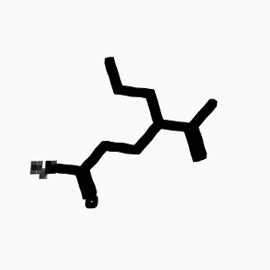 C=C(C)C(CCC)CCC(N)=O